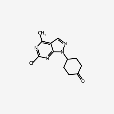 Cc1nc(Cl)nc2c1cnn2C1CCC(=O)CC1